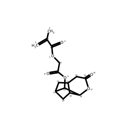 C=C(C)C(=O)OCC(=O)OC1C2CC3CC(=O)OC1C3C2